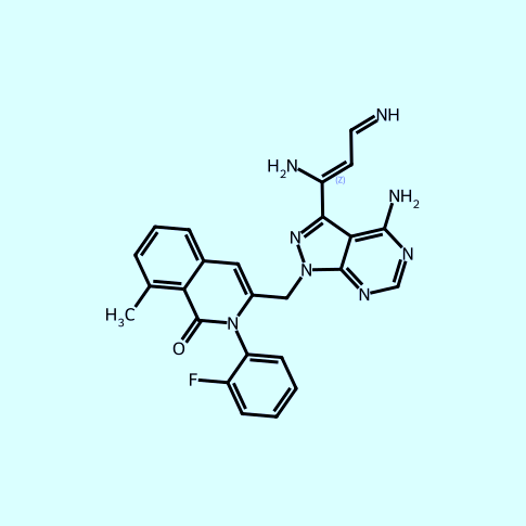 Cc1cccc2cc(Cn3nc(/C(N)=C/C=N)c4c(N)ncnc43)n(-c3ccccc3F)c(=O)c12